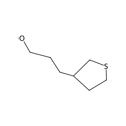 [O]CCCC1CCSC1